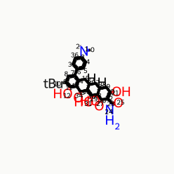 CN(C)c1ccc(-c2cc(C(C)(C)C)c(O)c3c2C[C@H]2C[C@H]4CC(O)=C(C(N)=O)C(=O)[C@@]4(O)C(O)=C2C3=O)cc1